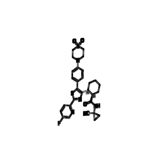 N#CC1(NC(=O)[C@@H]2CCCC[C@H]2c2nc(-c3ccc(F)cn3)sc2-c2ccc(N3CCS(=O)(=O)CC3)cc2)CC1